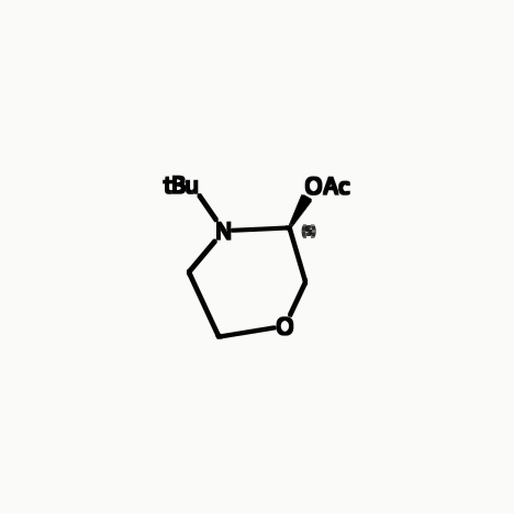 CC(=O)O[C@H]1COCCN1C(C)(C)C